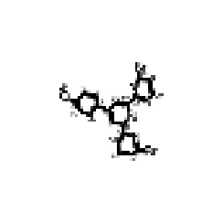 COc1ccc(-c2cc(-c3cccc(Br)n3)nc(-c3cccc(Br)n3)c2)cc1